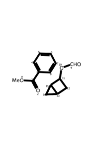 COC(=O)c1ccccc1.O=COC1CC2CC21